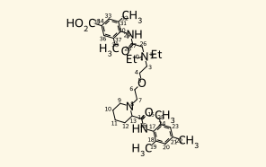 CC[N+](CC)(CCOCCN1CCCCC1C(=O)Nc1c(C)cc(C)cc1C)CC(=O)Nc1c(C)cc(C(=O)O)cc1C